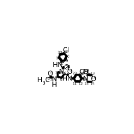 CC(=O)N[C@H]1C[C@H](C(=O)Nc2ccc(N3CCOCC3=O)c(C)c2)N(C(=O)Nc2ccc(Cl)cc2)C1